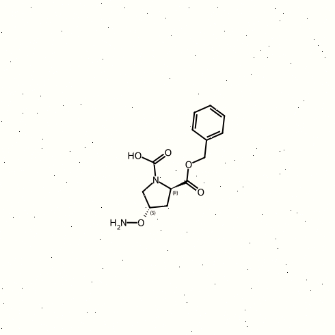 NO[C@H]1C[C@H](C(=O)OCc2ccccc2)N(C(=O)O)C1